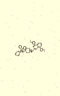 CCOc1cc(CN2CCC3(CC2)CN(c2ccccc2)C(=O)O3)cc2c(OCC)cccc12